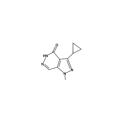 Cn1nc(C2CC2)c2c(=O)[nH]ncc21